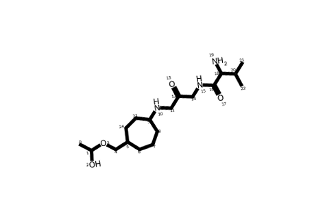 CC(O)OCC1CCCC(NCC(=O)CNC(=O)C(N)C(C)C)CC1